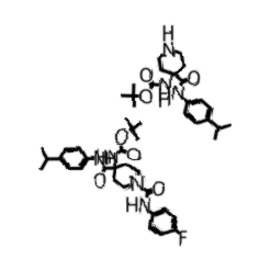 CC(C)c1ccc(NC(=O)C2(NC(=O)OC(C)(C)C)CCN(C(=O)Nc3ccc(F)cc3)CC2)cc1.CC(C)c1ccc(NC(=O)C2(NC(=O)OC(C)(C)C)CCNCC2)cc1